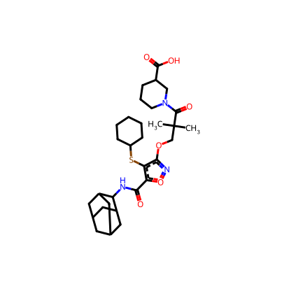 CC(C)(COc1noc(C(=O)NC2C3CC4CC(C3)CC2C4)c1SC1CCCCC1)C(=O)N1CCCC(C(=O)O)C1